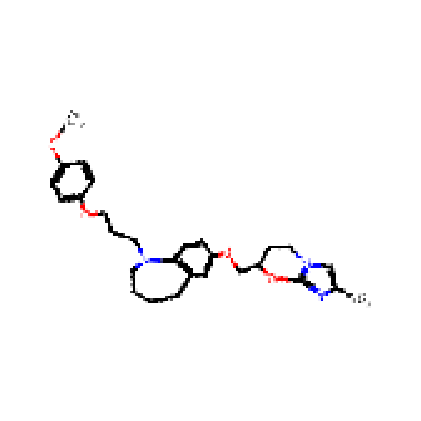 O=[N+]([O-])c1cn2c(n1)OC(COc1ccc3c(c1)CCCCN3CCCOc1ccc(OC(F)(F)F)cc1)CC2